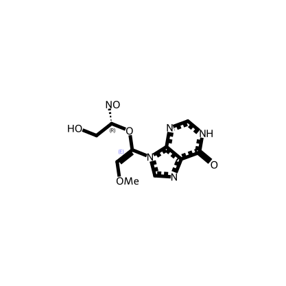 CO/C=C(/O[C@H](CO)N=O)n1cnc2c(=O)[nH]cnc21